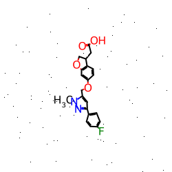 Cn1nc(-c2ccc(F)cc2)cc1COc1ccc2c(c1)OCC2CC(=O)O